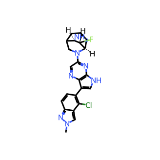 Cn1cc2c(Cl)c(-c3c[nH]c4nc(N5CC6CCC[C@@H]5[C@@H](F)[C@@H]6N)cnc34)ccc2n1